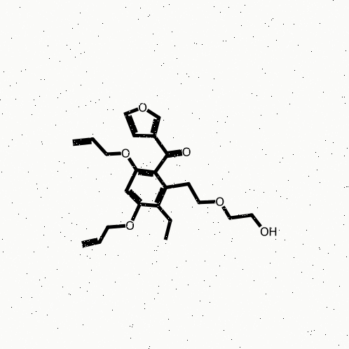 C=CCOc1cc(OCC=C)c(C(=O)c2ccoc2)c(CCOCCO)c1CC